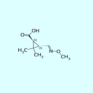 CON=C[C@H]1[C@H](C(=O)O)C1(C)C